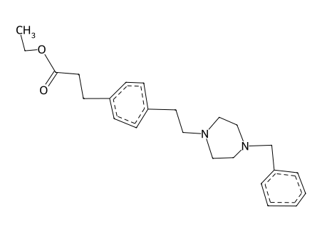 CCOC(=O)CCc1ccc(CCN2CCN(Cc3ccccc3)CC2)cc1